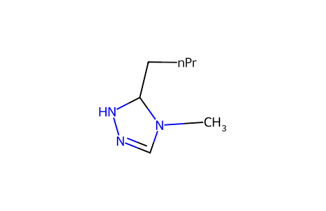 CCCCC1NN=CN1C